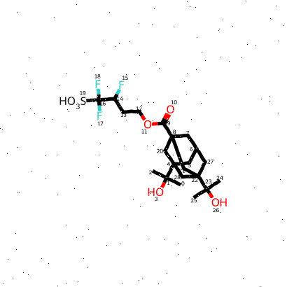 CC(C)(O)C12CC3CC(C(=O)OCCC(F)C(F)(F)S(=O)(=O)O)(C1)CC(C(C)(C)O)(C3)C2